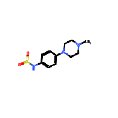 CN1CCN(c2ccc(N[SH](=O)=O)cc2)CC1